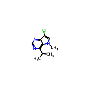 CC(C)c1ncnc2c(Cl)cn(C)c12